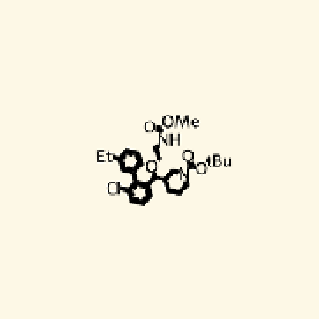 CCc1cccc(-c2c(Cl)cccc2C(OCCNC(=O)OC)[C@@H]2CCCN(C(=O)OC(C)(C)C)C2)c1